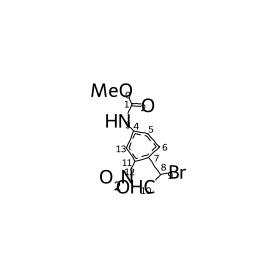 COC(=O)Nc1ccc(C(Br)C=O)c([N+](=O)[O-])c1